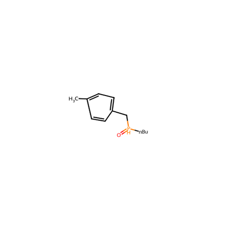 CCCC[PH](=O)Cc1ccc(C)cc1